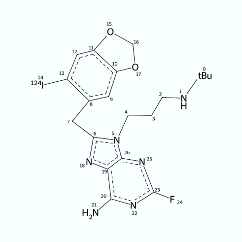 CC(C)(C)NCCCn1c(Cc2cc3c(cc2[124I])OCO3)nc2c(N)nc(F)nc21